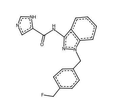 O=C(Nc1nn(Cc2ccc(CF)cc2)c2ccccc12)c1cnc[nH]1